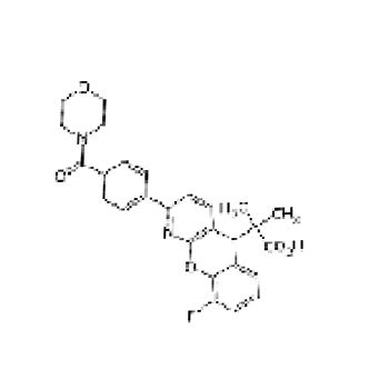 CC(C)(C(=O)O)C1c2ccc(-c3ccc(C(=O)N4CCOCC4)cc3)nc2Oc2c(F)cccc21